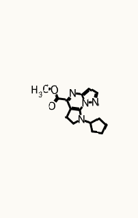 COC(=O)c1nc2ccnn2c2c1CCN2C1CCCC1